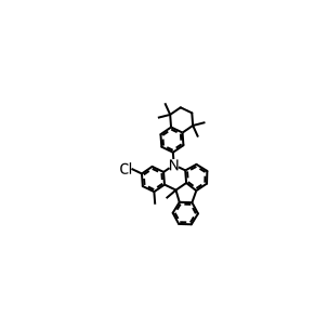 Cc1cc(Cl)cc2c1C1(C)c3ccccc3-c3cccc(c31)N2c1ccc2c(c1)C(C)(C)CCC2(C)C